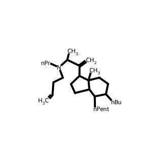 C=CCCN(CCC)C(C)C(=C)C1CCC2C(CCCCC)C(CCCC)CCC12C